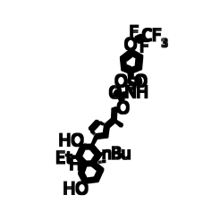 CCCC[C@H]1[C@H]([C@@H]2CC[C@H]([C@H](C)COC(=O)NS(=O)(=O)c3ccc(OC(F)(F)C(F)(F)F)cc3)C2)[C@H](O)[C@H](CC)[C@@H]2C[C@H](O)CC[C@@]21C